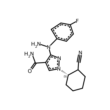 N#CC1CCCC[C@@H]1n1cc(C(N)=O)c(N(N)c2ccc(F)cc2)n1